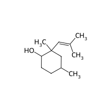 CC(C)=CC1(C)CC(C)CCC1O